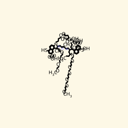 CCCC1CC(/C=C/C(C)=C/C=C2/N(CCCC(=O)ON3C(=O)CCC3=O)c3ccc4c(S)cc(S(=O)(=O)O)cc4c3C2(C)CCOCCOCCOCCOC)C(C)(CCCS(=O)(=O)O)c2c(ccc3c(SO)cc(S(=O)(=O)O)cc23)N1CCOCCOCCOCCOCCOCCOC